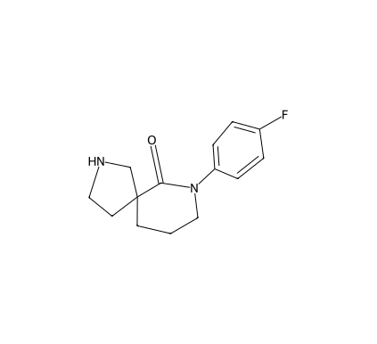 O=C1N(c2ccc(F)cc2)CCCC12CCNC2